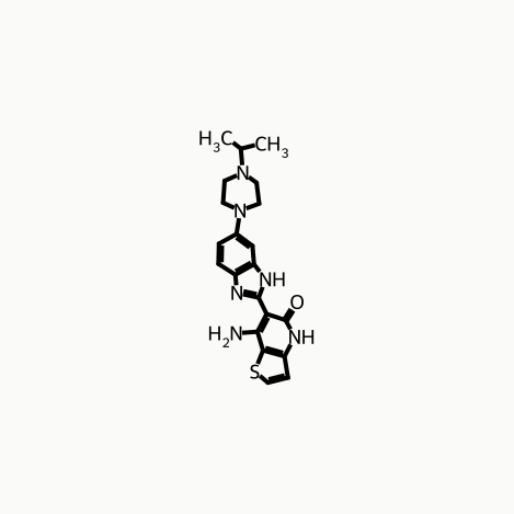 CC(C)N1CCN(c2ccc3nc(-c4c(N)c5sccc5[nH]c4=O)[nH]c3c2)CC1